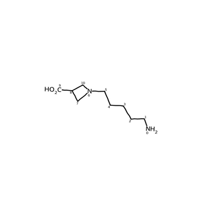 NCCCCCN1CC(C(=O)O)C1